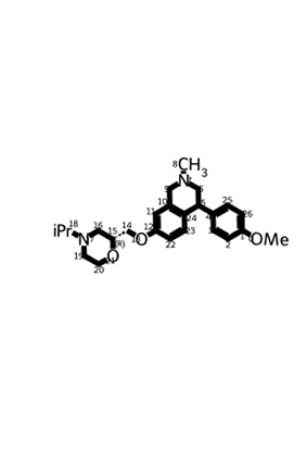 COc1ccc(C2CN(C)Cc3cc(OC[C@H]4CN(C(C)C)CCO4)ccc32)cc1